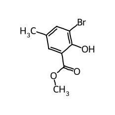 COC(=O)c1cc(C)cc(Br)c1O